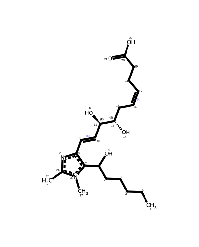 CCCCCC(O)c1c(/C=C/[C@@H](O)[C@@H](O)C/C=C\CCC(=O)O)nc(C)n1C